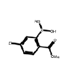 COC(=O)c1ccc(Cl)cc1B(O)O